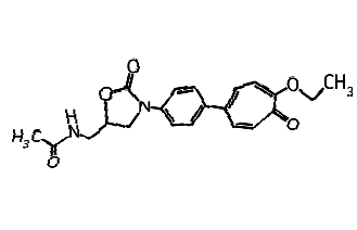 CCOc1ccc(-c2ccc(N3CC(CNC(C)=O)OC3=O)cc2)ccc1=O